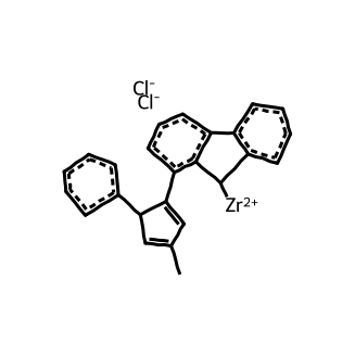 CC1=CC(c2ccccc2)C(c2cccc3c2[CH]([Zr+2])c2ccccc2-3)=C1.[Cl-].[Cl-]